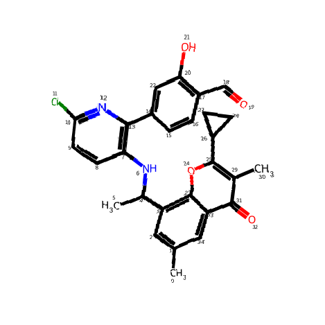 Cc1cc(C(C)Nc2ccc(Cl)nc2-c2ccc(C=O)c(O)c2)c2oc(C3CC3)c(C)c(=O)c2c1